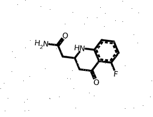 NC(=O)CC1CC(=O)c2c(F)cccc2N1